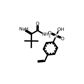 C=C(C(N)=O)C(C)(C)C.C=Cc1ccc(S(=O)(=O)O)cc1.[NaH]